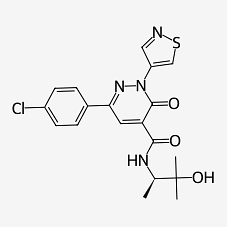 C[C@@H](NC(=O)c1cc(-c2ccc(Cl)cc2)nn(-c2cnsc2)c1=O)C(C)(C)O